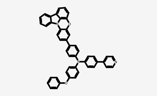 c1ccc(Oc2ccc(N(c3ccc(-c4ccncc4)cc3)c3ccc(-c4ccc5c(c4)Oc4cccc6c7ccccc7n-5c46)cc3)cc2)cc1